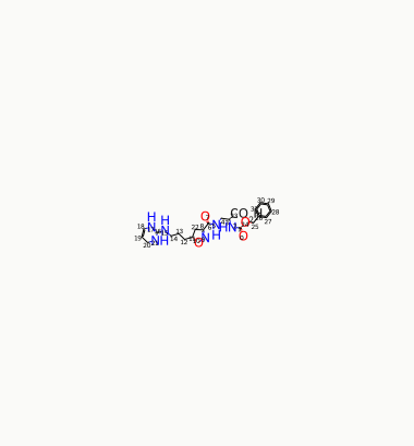 O=C(NC(CNC(=O)C1=NOC(CCCNC2NC=CCN2)C1)C(=O)O)OCc1ccccc1